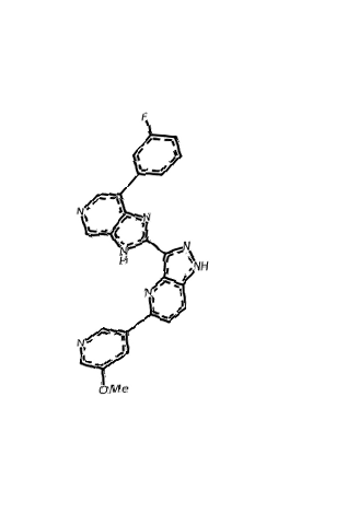 COc1cncc(-c2ccc3[nH]nc(-c4nc5c(-c6cccc(F)c6)cncc5[nH]4)c3n2)c1